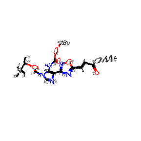 COC(=O)CCc1nc(-c2ncn(COC(C)[Si](C)(C)C)c2NC(=O)OC(C)(C)C)no1